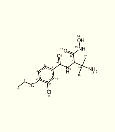 CCOc1ccc(C(=O)NC(C(=O)NO)C(C)(C)N)cc1Cl